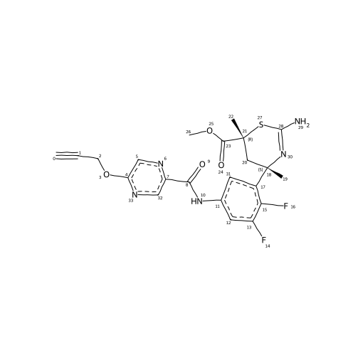 C#CCOc1cnc(C(=O)Nc2cc(F)c(F)c([C@]3(C)C[C@](C)(C(=O)OC)SC(N)=N3)c2)cn1